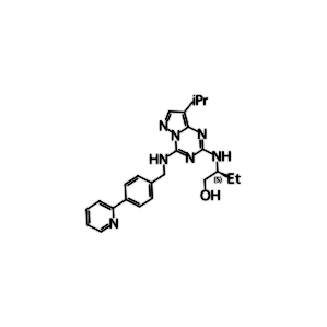 CC[C@@H](CO)Nc1nc(NCc2ccc(-c3ccccn3)cc2)n2ncc(C(C)C)c2n1